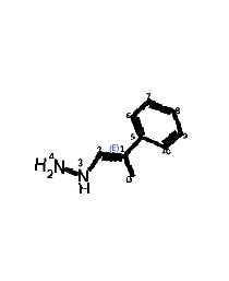 C/C(=C\NN)c1ccccc1